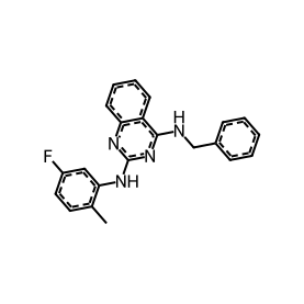 Cc1ccc(F)cc1Nc1nc(NCc2ccccc2)c2ccccc2n1